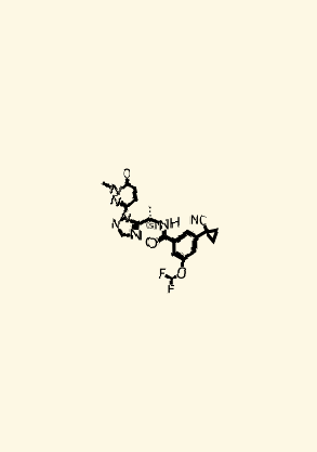 C[C@H](NC(=O)c1cc(OC(F)F)cc(C2(C#N)CC2)c1)c1ncnn1-c1ccc(=O)n(C)n1